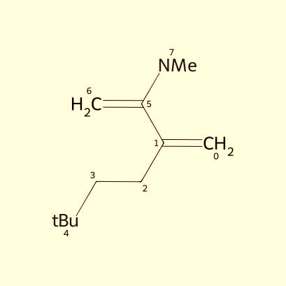 C=C(CCC(C)(C)C)C(=C)NC